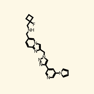 FC1(CNCc2ccc3nc(Cn4cc(-c5cncc(-n6cccc6)c5)nn4)cn3c2)CCC1